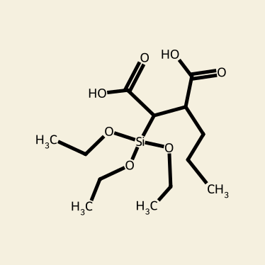 CCCC(C(=O)O)C(C(=O)O)[Si](OCC)(OCC)OCC